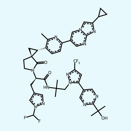 Cc1nc(-c2cnc3nc(C4CC4)cn3c2)ccc1[C@H]1C[C@@]12CCN([C@H](Cc1cnn(C(F)F)c1)C(=O)NC(C)(C)Cn1nc(C(F)(F)F)cc1-c1cnc(C(C)(C)O)nc1)C2=O